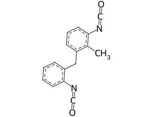 Cc1c(Cc2ccccc2N=C=O)cccc1N=C=O